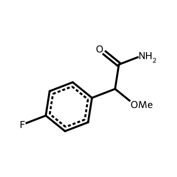 COC(C(N)=O)c1ccc(F)cc1